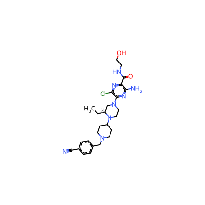 CC[C@H]1CN(c2nc(N)c(C(=O)NCCO)nc2Cl)CCN1C1CCN(Cc2ccc(C#N)cc2)CC1